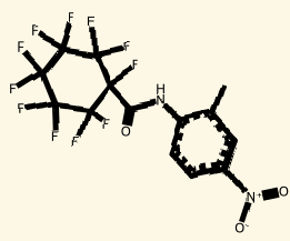 Cc1cc([N+](=O)[O-])ccc1NC(=O)C1(F)C(F)(F)C(F)(F)C(F)(F)C(F)(F)C1(F)F